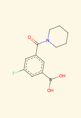 O=C(c1cc(F)cc(B(O)O)c1)N1CCCCC1